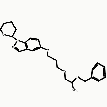 CC(COCCCOc1ccc2c(cnn2C2CCCCO2)c1)OCc1ccccc1